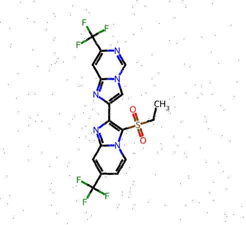 CCS(=O)(=O)c1c(-c2cn3cnc(C(F)(F)F)cc3n2)nc2cc(C(F)(F)F)ccn12